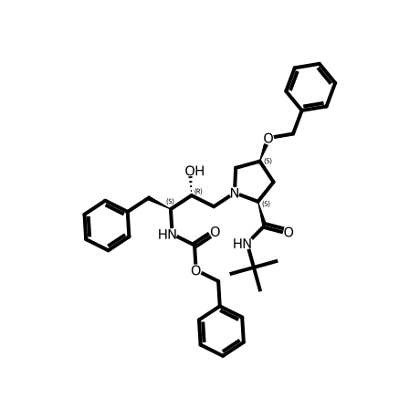 CC(C)(C)NC(=O)[C@@H]1C[C@H](OCc2ccccc2)CN1C[C@@H](O)[C@H](Cc1ccccc1)NC(=O)OCc1ccccc1